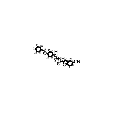 N#Cc1ccc2oc(C(=O)NC(=S)Nc3ccc(OCc4ccccc4)cc3)cc2c1